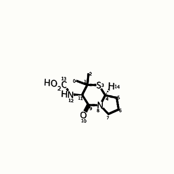 CC1(C)S[C@H]2CCCN2C(=O)[C@H]1NC(=O)O